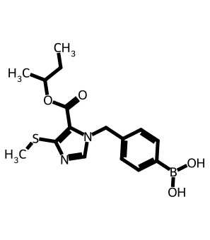 CCC(C)OC(=O)c1c(SC)ncn1Cc1ccc(B(O)O)cc1